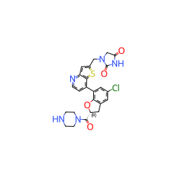 O=C1CN(Cc2cc3nccc(-c4cc(Cl)cc5c4O[C@@H](C(=O)N4CCNCC4)C5)c3s2)C(=O)N1